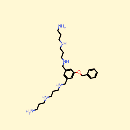 NCCCNCCCNCc1cc(CNCCCNCCCN)cc(OCc2ccccc2)c1